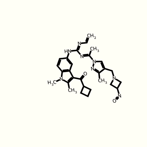 C=C/N=C(\N=C(/C)n1cc(CN2CC(N=O)C2)c(C)n1)Nc1ccc2c(c1)c(C(=O)C1CCC1)c(C)n2C